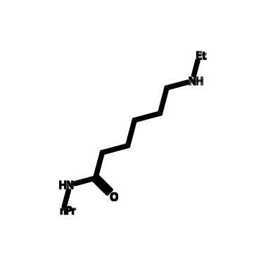 CCCNC(=O)CCCCCNCC